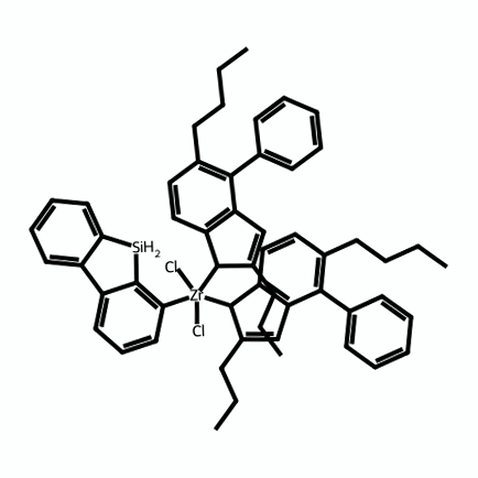 CCCCc1ccc2c(c1-c1ccccc1)C=C(CCC)[CH]2[Zr]([Cl])([Cl])([c]1cccc2c1[SiH2]c1ccccc1-2)[CH]1C(CCC)=Cc2c1ccc(CCCC)c2-c1ccccc1